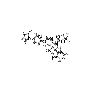 Cc1ccc(C)n1-c1ccc(-c2ccc(N(CC3(c4ncccc4F)CCC3)C(=O)OC(C)(C)C)nn2)nc1